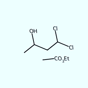 CC(O)CC(Cl)Cl.CCOC(C)=O